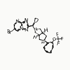 O=C(c1nc2ncc(Br)cn2n1)N1C[C@H]2C[C@@H](c3ccccc3OC(F)(F)F)C[C@H]2C1